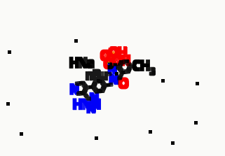 CCCCC1N(Cc2ccc(-c3ccncc3-c3nnn[nH]3)cc2)C(=O)c2cc(C)ccc2N1OP(=O)(O)O.[NaH]